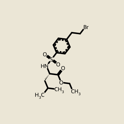 CCOC(=O)[C@H](CC(C)C)NS(=O)(=O)c1ccc(CCBr)cc1